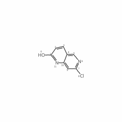 Oc1ccc2cnc(Cl)cc2n1